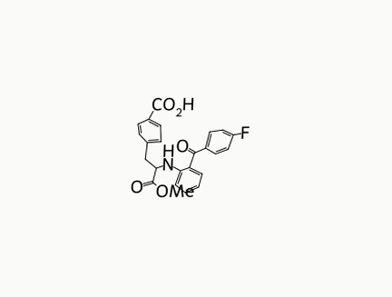 COC(=O)C(Cc1ccc(C(=O)O)cc1)Nc1ccccc1C(=O)c1ccc(F)cc1